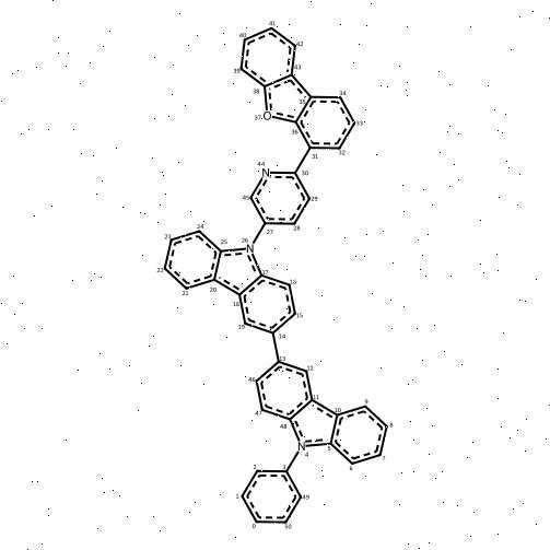 c1ccc(-n2c3ccccc3c3cc(-c4ccc5c(c4)c4ccccc4n5-c4ccc(-c5cccc6c5oc5ccccc56)nc4)ccc32)cc1